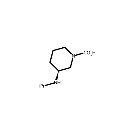 CC(C)N[C@H]1CCCN(C(=O)O)C1